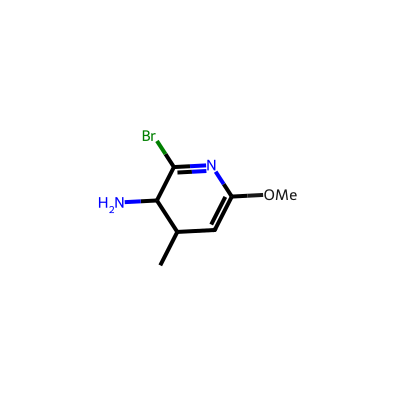 COC1=CC(C)C(N)C(Br)=N1